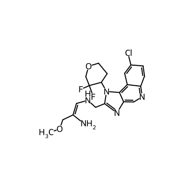 COC/C(N)=C/NCc1nc2cnc3ccc(Cl)cc3c2n1C1CCOCC1(F)F